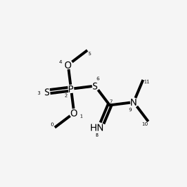 COP(=S)(OC)SC(=N)N(C)C